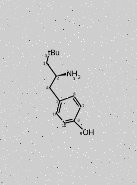 CC(C)(C)C[C@@H](N)Cc1ccc(O)cc1